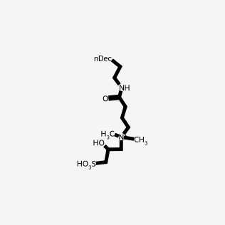 CCCCCCCCCCCCNC(=O)CCC[N+](C)(C)CC(O)CS(=O)(=O)O